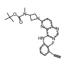 C#Cc1cccc(Nc2ncnc3ccc(N4CC(N(C)C(=O)OC(C)(C)C)C4)nc23)c1F